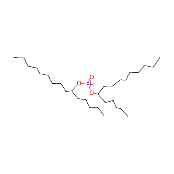 CCCCCCCCCC(CCCCC)O[PH](=O)OC(CCCCC)CCCCCCCCC